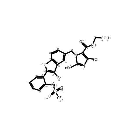 CCCc1nc(Cl)c(C(=O)NCC(=O)O)n1Cc1ccc2oc(-c3ccccc3NS(=O)(=O)C(F)(F)F)c(Br)c2c1